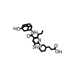 CCCc1nc(N2CCCC(CCC(=O)O)C2)c(S)cc1C(=O)NC1C2CC3CC1CC(O)(C3)C2